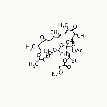 CCOCC(=O)OC(CC)CCC(C)(OC(C)OCC)C(/C=C/C(C)C(=O)/C(C)=C/C=C/C(C)CC1OC1C(C)C(CC)OC(C)OCC)OC(C)=O